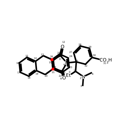 CCC(N(C)C)C1(N2C(=O)C3=C(C2=O)C2c4ccccc4C3c3ccccc32)C=CC=C(C(=O)O)C1